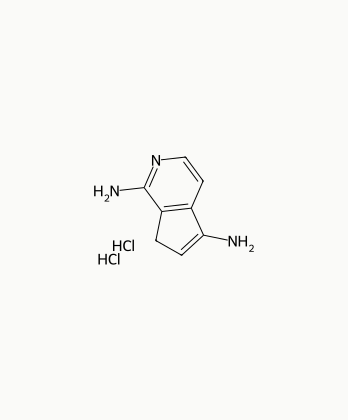 Cl.Cl.NC1=CCc2c1ccnc2N